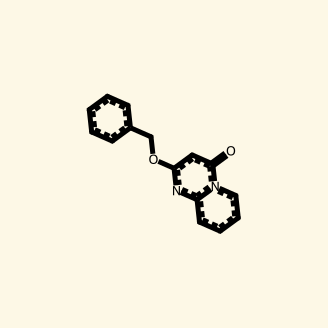 O=c1cc(OCc2ccccc2)nc2ccccn12